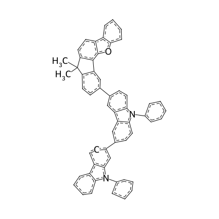 CC1(C)c2ccc(-c3ccc4c(c3)c3cc(-c5ccc6c7ccccc7n(-c7ccccc7)c6c5)ccc3n4-c3ccccc3)cc2-c2c1ccc1c2oc2ccccc21